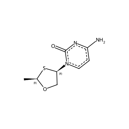 C[C@@H]1OC[C@H](n2ccc(N)nc2=O)S1